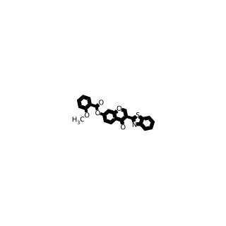 COc1ccccc1C(=O)Oc1ccc2c(=O)c(-c3nc4ccccc4s3)coc2c1